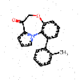 Cc1ccccc1-c1cccc2c1-n1cccc1C(=O)CO2